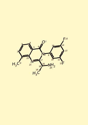 Cc1cccc2c(=O)n(-c3cc(F)cc(F)c3)c([C@H](C)N)nc12